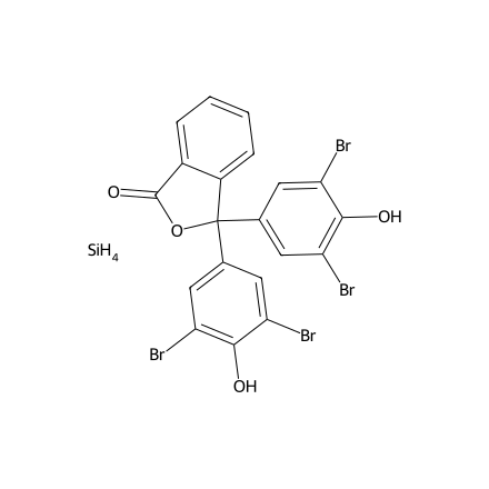 O=C1OC(c2cc(Br)c(O)c(Br)c2)(c2cc(Br)c(O)c(Br)c2)c2ccccc21.[SiH4]